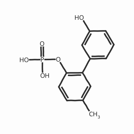 Cc1ccc(OP(=O)(O)O)c(-c2cccc(O)c2)c1